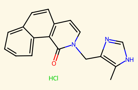 Cc1[nH]cnc1Cn1ccc2ccc3ccccc3c2c1=O.Cl